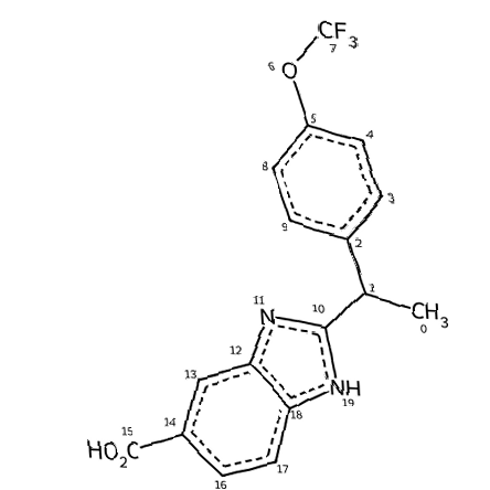 CC(c1ccc(OC(F)(F)F)cc1)c1nc2cc(C(=O)O)ccc2[nH]1